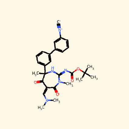 [C-]#[N+]c1cccc(-c2cccc(C3(C)N/C(=N/C(=O)OC(C)(C)C)N(C)C(=O)/C(=C\N(C)C)C3=O)c2)c1